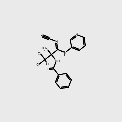 N#CN=C(Nc1cccnc1)C(N)(NC(=O)c1ccccc1)C(Cl)(Cl)Cl